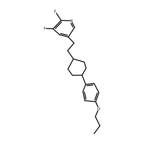 CCCOc1ccc(C2CCC(CCc3cnc(F)c(F)c3)CC2)cc1